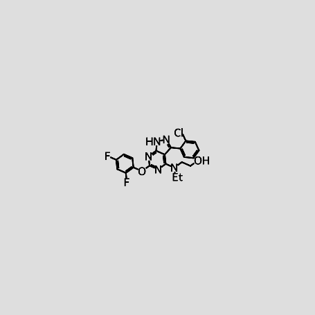 CCN(CCO)c1nc(Oc2ccc(F)cc2F)nc2[nH]nc(-c3ccccc3Cl)c12